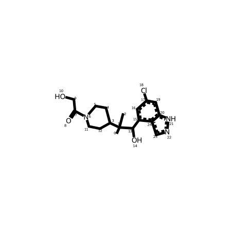 CC(C)(C1CCN(C(=O)CO)CC1)C(O)c1cc(Cl)cc2[nH]ncc12